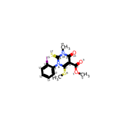 COC(=O)c1c(SC)n(-c2ccccc2I)c(=S)n(C)c1=O